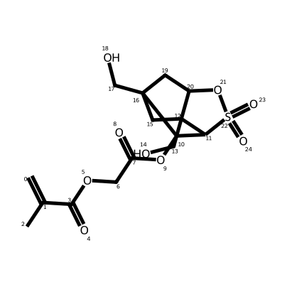 C=C(C)C(=O)OCC(=O)OC1C2C3(CO)CC1(CO)CC3OS2(=O)=O